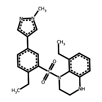 CCc1ccc(-c2cnn(C)c2)cc1S(=O)(=O)N1CCNc2cccc(CC)c21